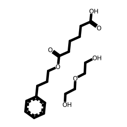 O=C(O)CCCCC(=O)OCCCc1ccccc1.OCCOCCO